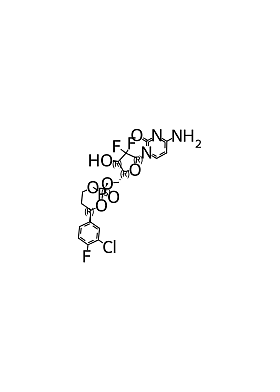 Nc1ccn([C@@H]2O[C@H](CO[P@]3(=O)OCC[C@H](c4ccc(F)c(Cl)c4)O3)[C@@H](O)C2(F)F)c(=O)n1